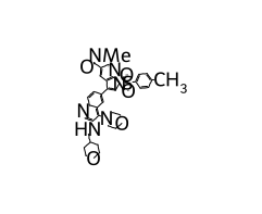 CNC(=O)c1cnc2c(c1)c(-c1ccc3ncc(NCC4CCOCC4)c(N4CCOCC4)c3c1)cn2S(=O)(=O)c1ccc(C)cc1